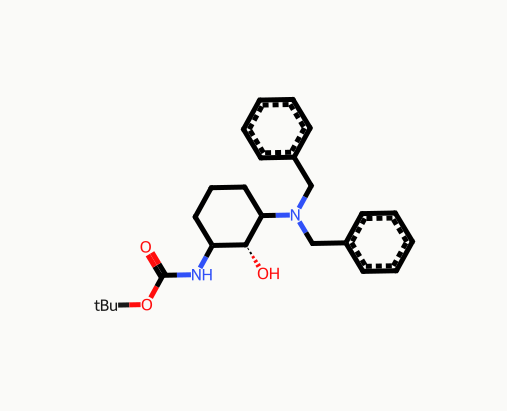 CC(C)(C)OC(=O)NC1CCCC(N(Cc2ccccc2)Cc2ccccc2)[C@@H]1O